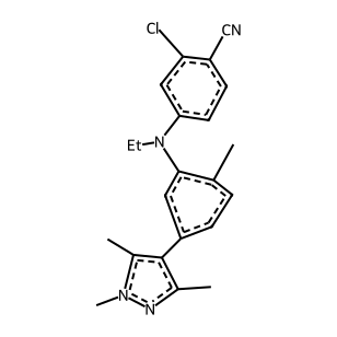 CCN(c1ccc(C#N)c(Cl)c1)c1cc(-c2c(C)nn(C)c2C)ccc1C